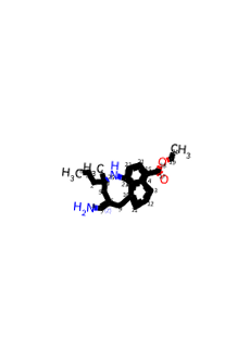 CCCC1(C)C/C(=C\N)Cc2cccc3c(C(=O)OCC)ccc(c23)N1